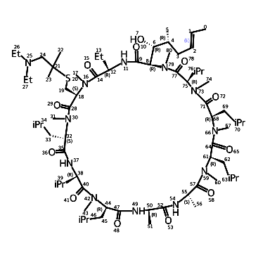 C/C=C/C[C@@H](C)[C@@H](O)[C@@H]1C(=O)N[C@H](CC)C(=O)N(C)[C@H](CSC(C)(C)CN(CC)CC)C(=O)N(C)[C@@H](CC(C)C)C(=O)N[C@H](C(C)C)C(=O)N(C)[C@H](CC(C)C)C(=O)N[C@H](C)C(=O)N[C@@H](C)C(=O)N(C)[C@H](CC(C)C)C(=O)N(C)[C@H](CC(C)C)C(=O)N(C)[C@H](C(C)C)C(=O)N1C